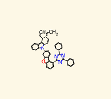 C=CC1C=Cc2c(c3ccccc3n2-c2ccc3c(c2)oc2cccc(-c4nc(-c5ccccc5)nc(-c5ccccc5)n4)c23)C1C=C